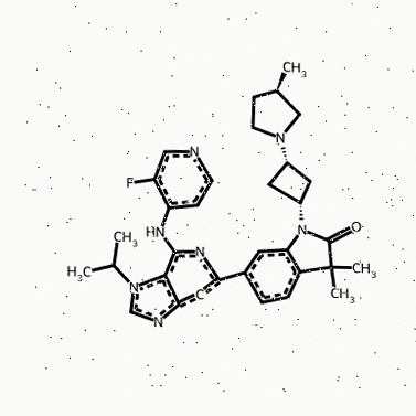 CC(C)n1cnc2cc(-c3ccc4c(c3)N([C@H]3C[C@@H](N5CC[C@@H](C)C5)C3)C(=O)C4(C)C)nc(Nc3ccncc3F)c21